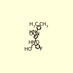 Cc1ccc(-c2nn3cc(C(=O)NC(CCO)c4ccc(F)cc4)cc3c(=O)[nH]2)cc1C